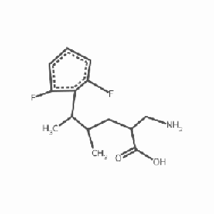 CC(CC(CN)C(=O)O)C(C)c1c(F)cccc1F